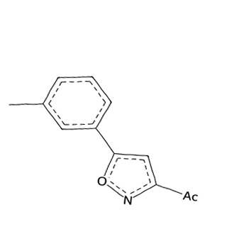 CC(=O)c1cc(-c2cccc(C)c2)on1